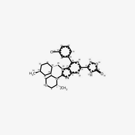 C[C@@H]1COCCN1c1nc2nc(-c3noc(=O)[nH]3)nc(-c3cccc(Cl)c3)c2n1C[C@H]1CC[C@H](C)CC1